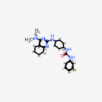 CN(C)c1nc(NC2CCC(NC(=O)Nc3cccc(F)c3)CC2)nc2c1CCCC2